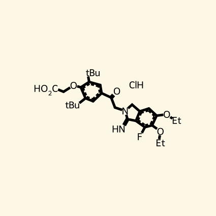 CCOc1cc2c(c(F)c1OCC)C(=N)N(CC(=O)c1cc(C(C)(C)C)c(OCC(=O)O)c(C(C)(C)C)c1)C2.Cl